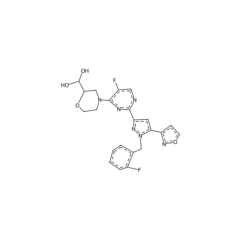 OC(O)C1CN(c2nc(-c3cc(-c4ccon4)n(Cc4ccccc4F)n3)ncc2F)CCO1